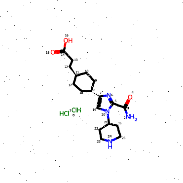 Cl.Cl.NC(=O)c1nc([C@H]2CC[C@H](CCC(=O)O)CC2)cn1C1CCNCC1